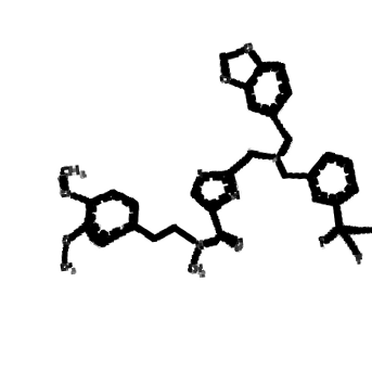 COc1ccc(CCN(C)C(=O)c2csc(CN(Cc3cccc(C(F)(F)F)c3)Cc3ccc4c(c3)OCO4)n2)cc1OC